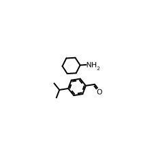 CC(C)c1ccc(C=O)cc1.NC1CCCCC1